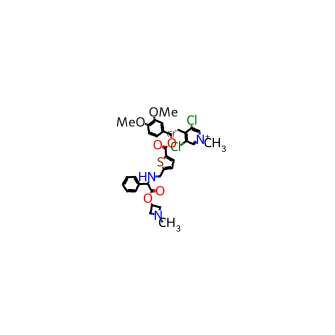 COc1ccc([C@H](Cc2c(Cl)c[n+](C)cc2Cl)OC(=O)c2ccc(CNC(C(=O)OC3CN(C)C3)c3ccccc3)s2)cc1OC